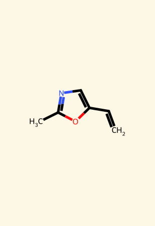 C=Cc1cnc(C)o1